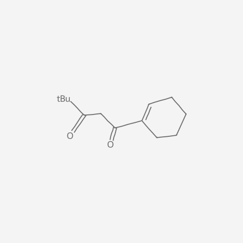 CC(C)(C)C(=O)CC(=O)C1=CCCCC1